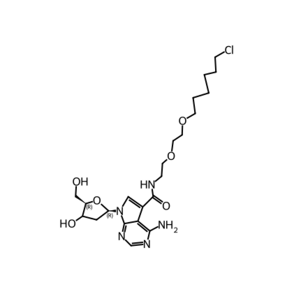 Nc1ncnc2c1c(C(=O)NCCOCCOCCCCCCCl)cn2[C@H]1CC(O)[C@@H](CO)O1